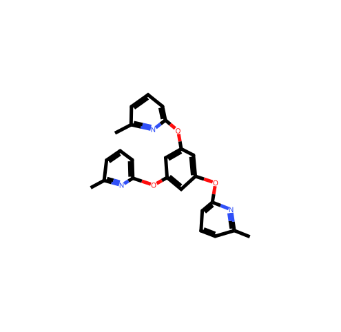 Cc1cccc(Oc2cc(Oc3cccc(C)n3)cc(Oc3cccc(C)n3)c2)n1